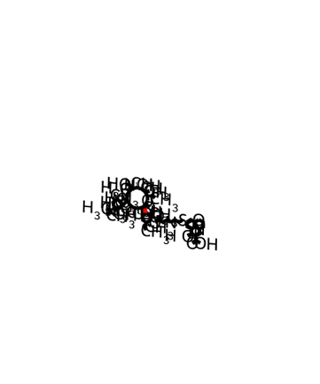 CC[C@H]1OC(=O)[C@H](C)[C@@H](O[C@H]2C[C@@](C)(CC)[C@@H](OC(=O)CCNCCSc3cc4c5c(c3)c(=O)c(C(=O)O)cn5CCO4)[C@H](C)O2)[C@H](C)[C@@H](O[C@@H]2O[C@H](C)C[C@H](N(C)C)[C@H]2O)[C@](C)(O)C[C@@H](C)/C(=N\O)[C@H](C)[C@@H](O)[C@]1(C)O